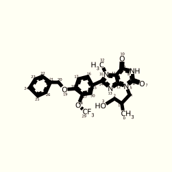 CC(CO)Cn1c(=O)[nH]c(=O)c2c1nc(-c1ccc(OCc3ccccc3)c(OC(F)(F)F)c1)n2C